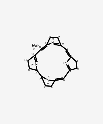 C1=C2CCC(=N2)C=C2CCC(N2)C2CCC(=N2)C=C2CCC1=N2.[Mn]